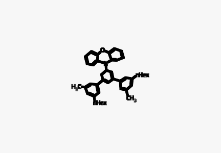 CCCCCCc1cc(C)cc(C2=CC(N3c4ccccc4Oc4ccccc43)CC(c3cc(C)cc(CCCCCC)c3)=C2)c1